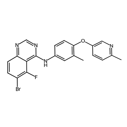 Cc1ccc(Oc2ccc(Nc3ncnc4ccc(Br)c(F)c34)cc2C)cn1